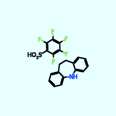 O=S(=O)(O)c1c(F)c(F)c(F)c(F)c1F.c1ccc2c(c1)CCc1ccccc1N2